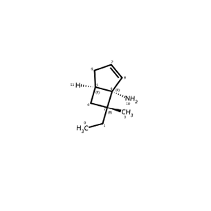 CC[C@]1(C)C[C@H]2CC=C[C@]21N